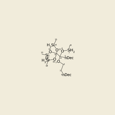 CCCCCCCCCCCCOC(CCCCCCCCCC)(O[SiH2]C)C(O[SiH2]C)(O[SiH2]C)O[SiH2]C